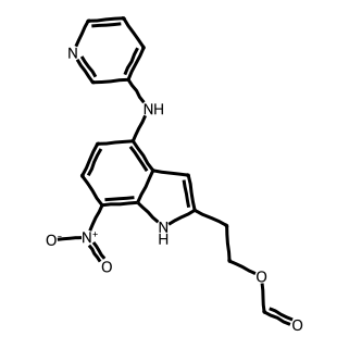 O=COCCc1cc2c(Nc3cccnc3)ccc([N+](=O)[O-])c2[nH]1